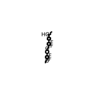 CCCC(O)c1ccc(-c2ccc(COC3CCC(c4ccc(OCC)c(F)c4F)CC3)c(F)c2F)cc1